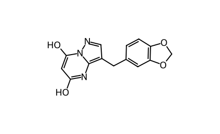 Oc1cc(O)n2ncc(Cc3ccc4c(c3)OCO4)c2n1